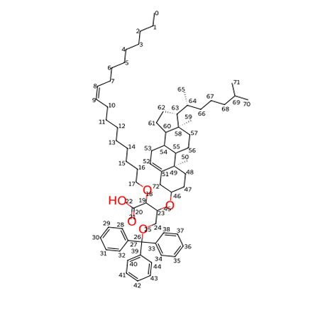 CCCCCCCC/C=C\CCCCCCCCOC(C(=O)O)C(COC(c1ccccc1)(c1ccccc1)c1ccccc1)OC1CC[C@@]2(C)C(=CCC3C2CC[C@@]2(C)C3CC[C@@H]2[C@H](C)CCCC(C)C)C1